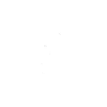 CCC1Cc2cccc3c2N1CCC3NCC[C@@]1(c2ccccn2)CCOC2(CCCC2)C1